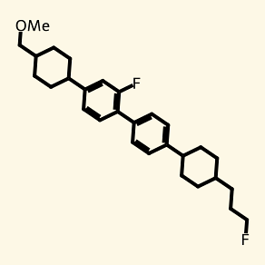 COCC1CCC(c2ccc(-c3ccc(C4CCC(CCCF)CC4)cc3)c(F)c2)CC1